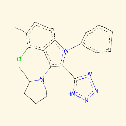 Cc1ccc2c(c1Cl)c(N1CCCC1C)c(-c1nnn[nH]1)n2-c1ccccc1